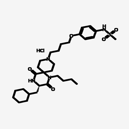 CCCCN1C(=O)[C@H](CC2CCCCC2)NC(=O)C12CCN(CCCCOc1ccc(NS(C)(=O)=O)cc1)CC2.Cl